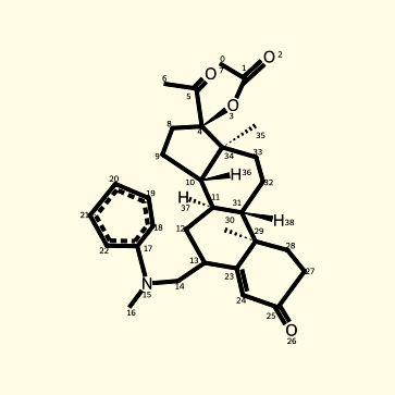 CC(=O)O[C@]1(C(C)=O)CC[C@H]2[C@@H]3CC(CN(C)c4ccccc4)C4=CC(=O)CC[C@]4(C)[C@H]3CC[C@@]21C